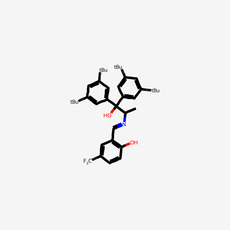 CC(N=Cc1cc(C(F)(F)F)ccc1O)C(O)(c1cc(C(C)(C)C)cc(C(C)(C)C)c1)c1cc(C(C)(C)C)cc(C(C)(C)C)c1